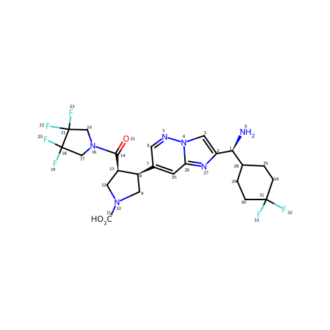 N[C@H](c1cn2ncc([C@H]3CN(C(=O)O)C[C@H]3C(=O)N3CC(F)(F)C(F)(F)C3)cc2n1)C1CCC(F)(F)CC1